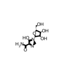 NC(=O)c1ncn([C@@H]2O[C@H](CO)[C@H](O)C2O)c1O